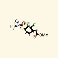 COC(=O)Cc1ccc(SC(=O)N(C)C)c(Cl)c1Cl